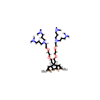 CN(C)CCCN(CCCN(C)C)CCOCCOCCC1(CCOCCOCCN(CCCN(C)C)CCCN(C)C)c2cc(C(C)(C)C)sc2-c2sc(C(C)(C)C)cc21